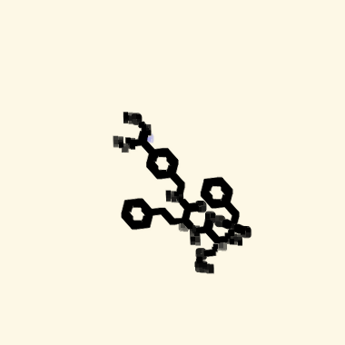 CC(C)(C)OC[C@@H](NS(=O)(=O)Cc1ccccc1)C(=O)N[C@@H](CCc1ccccc1)C(=O)NCc1ccc(/C(N)=N/O)cc1